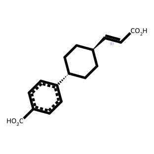 O=C(O)/C=C/[C@H]1CC[C@H](c2ccc(C(=O)O)cc2)CC1